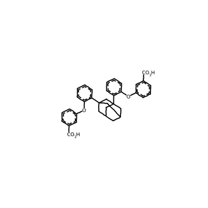 O=C(O)c1cccc(Oc2ccccc2C23CC4CC(C2)CC(c2ccccc2Oc2cccc(C(=O)O)c2)(C4)C3)c1